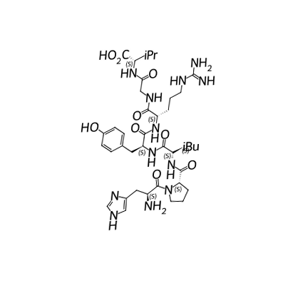 CC[C@H](C)[C@H](NC(=O)[C@@H]1CCCN1C(=O)[C@@H](N)Cc1c[nH]cn1)C(=O)N[C@@H](Cc1ccc(O)cc1)C(=O)N[C@@H](CCCNC(=N)N)C(=O)NCC(=O)N[C@H](C(=O)O)C(C)C